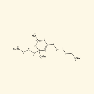 CCCCCCCCCCCCCCCC1=CC(OC)(OCCCCCCCCCCCC)CC(O)=C1